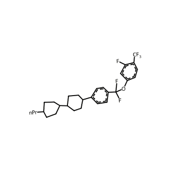 CCCC1CCC(C2CCC(c3ccc(C(F)(F)Oc4ccc(C(F)(F)F)c(F)c4)cc3)CC2)CC1